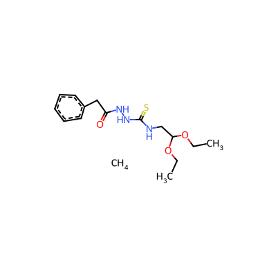 C.CCOC(CNC(=S)NNC(=O)Cc1ccccc1)OCC